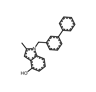 Cc1cc2c(O)cccc2n1Cc1cccc(-c2ccccc2)c1